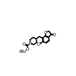 CC(C)(C)OC(=O)N1CCC(Cc2c(Cl)ccc3c2OCC3=O)CC1